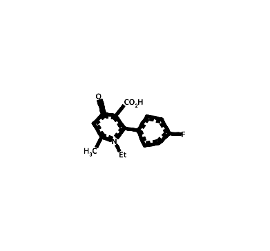 CCn1c(C)cc(=O)c(C(=O)O)c1-c1ccc(F)cc1